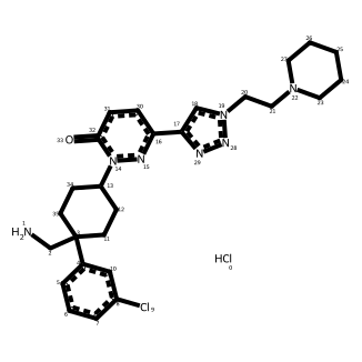 Cl.NCC1(c2cccc(Cl)c2)CCC(n2nc(-c3cn(CCN4CCCCC4)nn3)ccc2=O)CC1